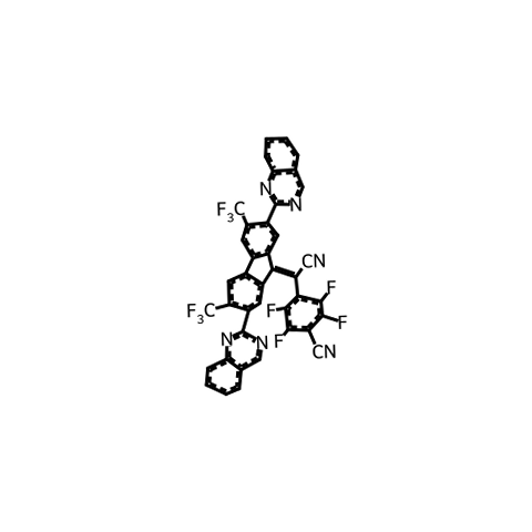 N#CC(=C1c2cc(-c3ncc4ccccc4n3)c(C(F)(F)F)cc2-c2cc(C(F)(F)F)c(-c3ncc4ccccc4n3)cc21)c1c(F)c(F)c(C#N)c(F)c1F